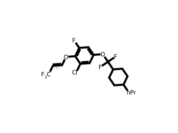 CCCC1CCC(C(F)(F)Oc2cc(F)c(O/C=C/C(F)(F)F)c(Cl)c2)CC1